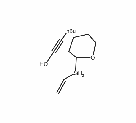 C=C[SiH2]C1CCCCO1.CCCCC#CO